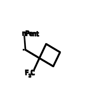 CCCCC[CH]C1(C(F)(F)F)CCC1